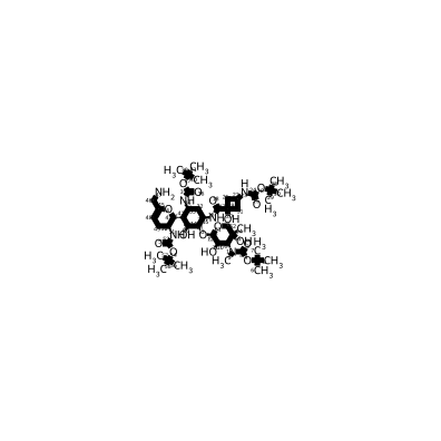 CN(C(=O)OC(C)(C)C)[C@@H]1[C@@H](O)[C@@H](O[C@H]2[C@H](NC(=O)C3(O)CC(NC(=O)OC(C)(C)C)C3)C[C@H](NC(=O)OC(C)(C)C)C([C@H]3OC(CN)=CC[C@H]3NC(=O)OC(C)(C)C)[C@@H]2O)OC[C@]1(C)O